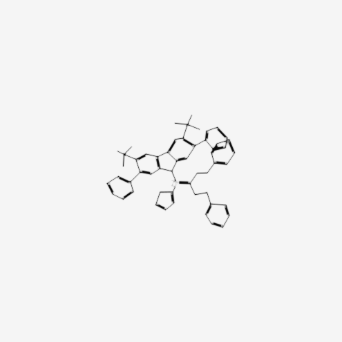 CC(C)(C)c1cc2c(cc1-c1ccccc1)[CH]([Zr]([C]1=CC=CC1)=[C](CCc1ccccc1)CCc1ccccc1)c1cc(-c3ccccc3)c(C(C)(C)C)cc1-2